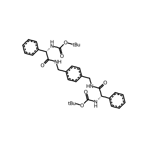 CC(C)(C)OC(=O)N[C@H](C(=O)NCc1ccc(CNC(=O)[C@@H](NC(=O)OC(C)(C)C)c2ccccc2)cc1)c1ccccc1